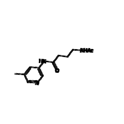 CC(=O)NCCCC(=O)Nc1cncc(C)c1